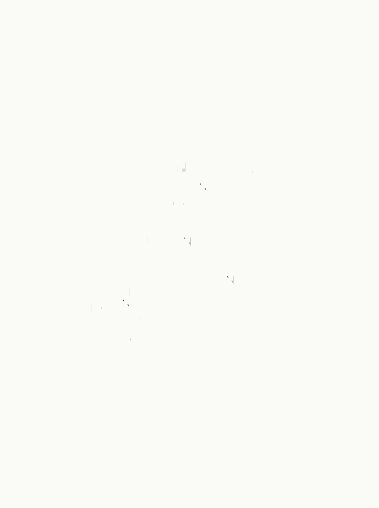 CCCN(CC=O)C(=O)C1Cc2c(n(Cc3ccc(C(=O)NO)cc3)c3ccccc23)CN1C